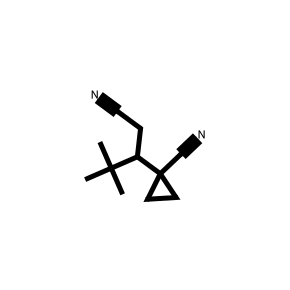 CC(C)(C)C(CC#N)C1(C#N)CC1